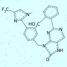 Cn1cc(C(F)(F)F)nc1-c1ccc(Cn2c(=O)[nH]c3cnc(-c4ccccc4C(=O)O)nc32)cc1